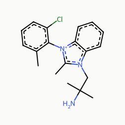 Cc1cccc(Cl)c1-[n+]1c(C)n(CC(C)(C)N)c2ccccc21